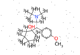 [2H]C([2H])([2H])N(C([2H])([2H])[2H])C([2H])([2H])[C@H](c1ccc(OC)cc1)C1(O)C([2H])([2H])C([2H])([2H])C([2H])([2H])C([2H])([2H])C1([2H])[2H]